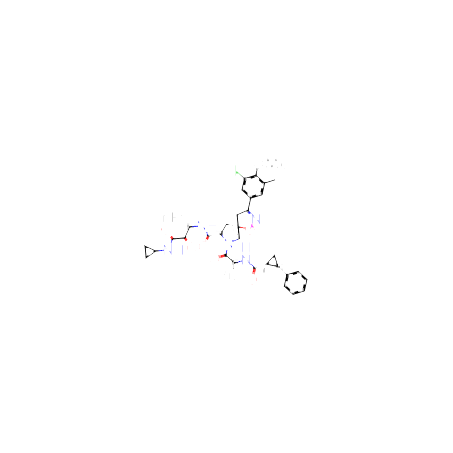 CCC[C@H](NC(=O)[C@@H]1C[C@]2(CC(c3cc(C)c(OC)c(Cl)c3)=NO2)CN1C(=O)[C@@H](NC(=O)[C@@H]1C[C@H]1c1ccccc1)C(C)(C)C)C(=O)C(=O)NC1CC1